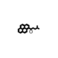 CC(C)CCC(=O)c1ccc2ccc3cccc4ccc1c2c34